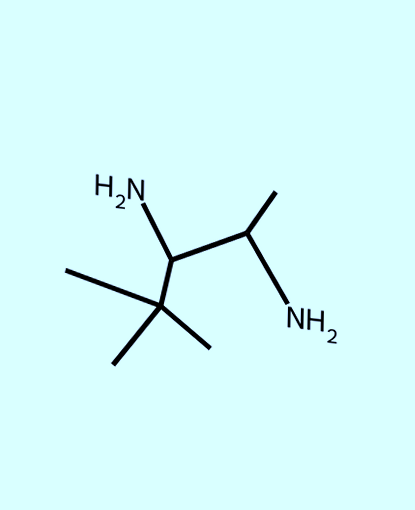 CC(N)C(N)C(C)(C)C